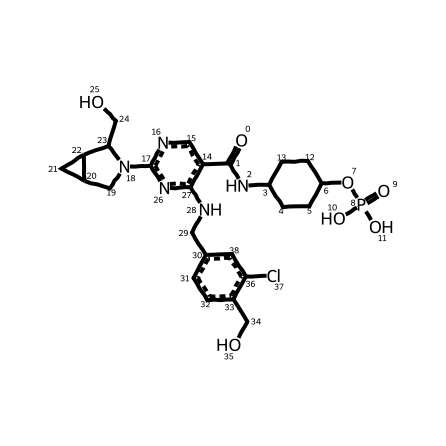 O=C(NC1CCC(OP(=O)(O)O)CC1)c1cnc(N2CC3CC3C2CO)nc1NCc1ccc(CO)c(Cl)c1